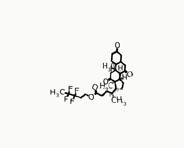 C[C@H](CCC(=O)OCCC(F)(F)C(C)(F)F)[C@H]1CC[C@H]2[C@@H]3C(=O)CC4CC(=O)CC[C@]4(C)[C@H]3CC(=O)[C@]12C